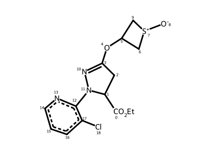 CCOC(=O)C1CC(OC2C[S+]([O-])C2)=NN1c1ncccc1Cl